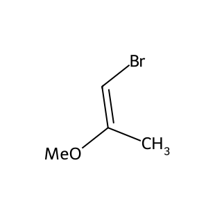 COC(C)=CBr